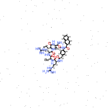 CC[C@H](NC(=O)[C@@H](NC(=O)C(CCCNC(=N)N)NC(=O)Cc1ccc(NC(=O)c2ccc3ccccc3c2)cc1)[C@@H](C)CC)C(=O)N[C@H](CCCNC(=N)N)C(=O)N[C@H](C(N)=O)[C@@H](C)CC